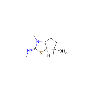 BC1(C)CCC2[C@@H]1S/C(=N\C)N2C